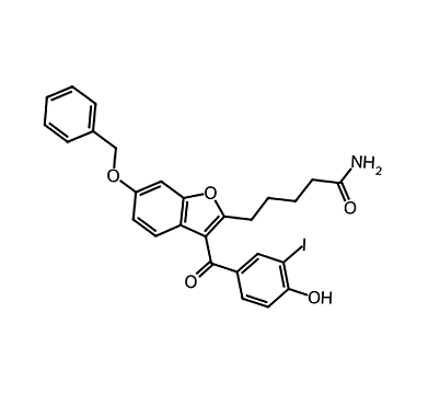 NC(=O)CCCCc1oc2cc(OCc3ccccc3)ccc2c1C(=O)c1ccc(O)c(I)c1